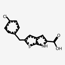 O=C(O)c1cc2cc(Cc3ccc(Cl)cc3)sc2[nH]1